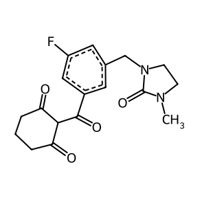 CN1CCN(Cc2cc(F)cc(C(=O)C3C(=O)CCCC3=O)c2)C1=O